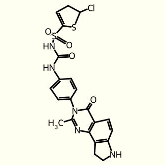 Cc1nc2c3c(ccc2c(=O)n1-c1ccc(NC(=O)NS(=O)(=O)C2=CCC(Cl)S2)cc1)NCC3